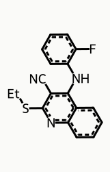 CCSc1nc2ccccc2c(Nc2ccccc2F)c1C#N